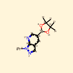 CC(C)n1ncc2cc(B3OC(C)(C)C(C)(C)O3)cnc21